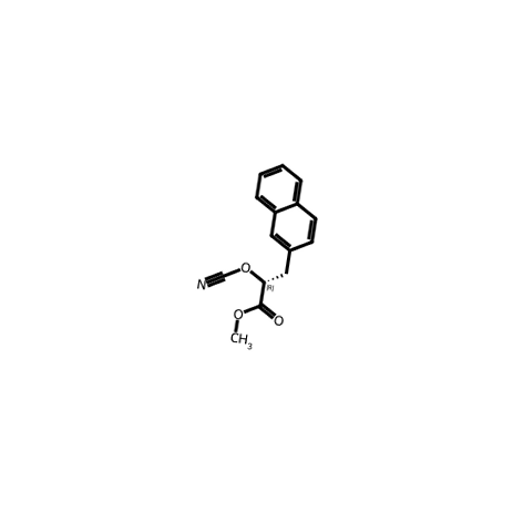 COC(=O)[C@@H](Cc1ccc2ccccc2c1)OC#N